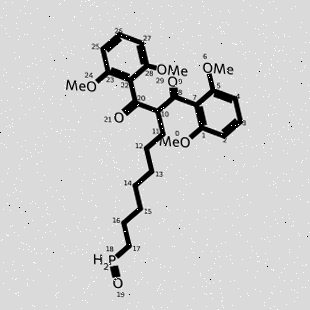 COc1cccc(OC)c1C(=O)C(CCCCCCC[PH2]=O)C(=O)c1c(OC)cccc1OC